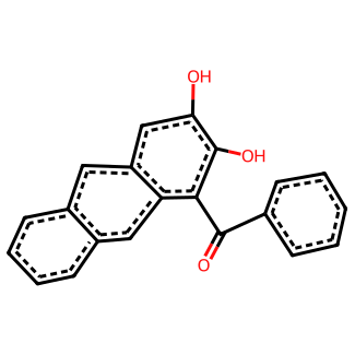 O=C(c1ccccc1)c1c(O)c(O)cc2cc3ccccc3cc12